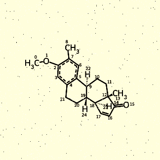 COc1cc2c(cc1C)[C@H]1CC[C@]3(C)C(=O)C=C[C@H]3[C@@H]1CC2